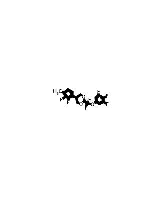 Cc1ccc(C2COC(C(F)(F)Oc3cc(F)c(F)c(F)c3)OC2)c(F)c1F